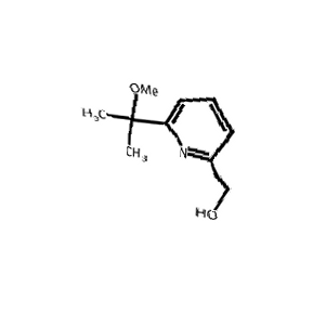 COC(C)(C)c1cccc(CO)n1